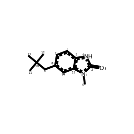 Cn1c(=O)[nH]c2ccc(CC(C)(C)C)cc21